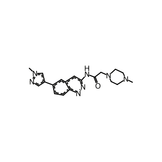 CN1CCN(CC(=O)Nc2cc3cc(-c4cnn(C)c4)ccc3nn2)CC1